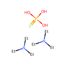 CCN(CC)CC.CCN(CC)CC.OP(O)(O)=S